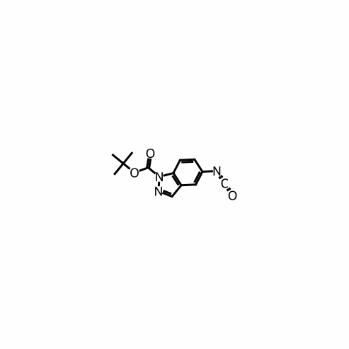 CC(C)(C)OC(=O)n1ncc2cc(N=C=O)ccc21